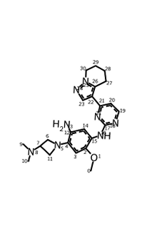 COc1cc(N2CC(N(C)C)C2)c(N)cc1Nc1nccc(-c2cnn3c2CCCC3)n1